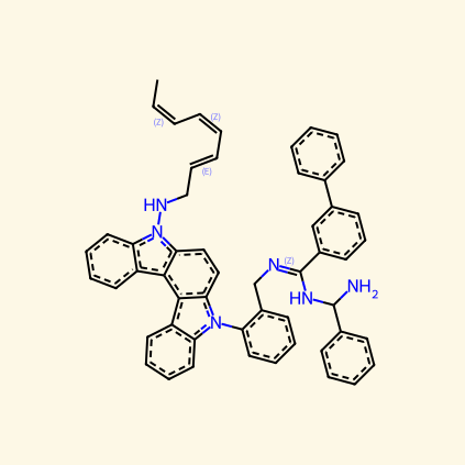 C\C=C/C=C\C=C\CNn1c2ccccc2c2c3c4ccccc4n(-c4ccccc4C/N=C(\NC(N)c4ccccc4)c4cccc(-c5ccccc5)c4)c3ccc21